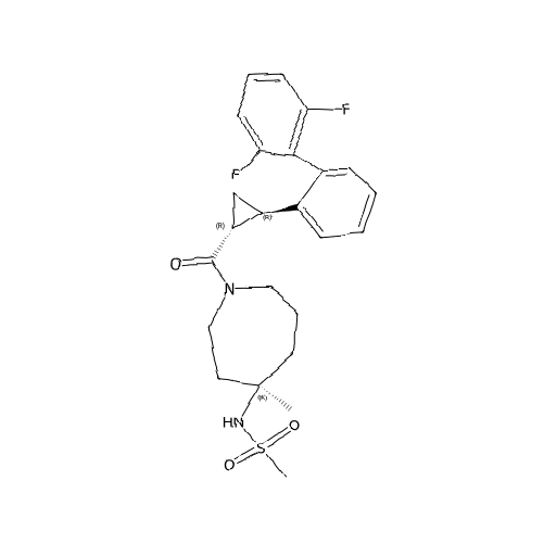 C[C@@]1(NS(C)(=O)=O)CCCN(C(=O)[C@@H]2C[C@H]2c2ccccc2-c2c(F)cccc2F)CC1